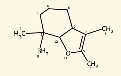 BC1(C)CCCC2C(C)=C(C)OC21